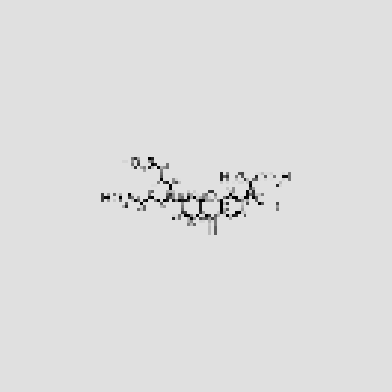 CC(C(=O)O)N(C)c1ccc2c(c1)Oc1cc(N(CCCS(=O)(=O)O)CCCS(=O)(=O)O)ccc1N2